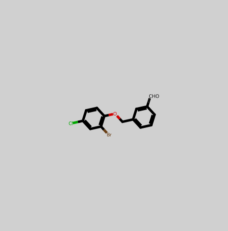 O=Cc1cccc(COc2ccc(Cl)cc2Br)c1